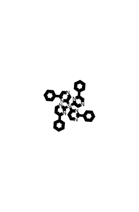 c1ccc(-c2cncc([Si](c3cncc(-c4ccccc4)n3)(c3ccnc(-c4ccccc4)n3)c3nccc(-c4ccccc4)n3)n2)cc1